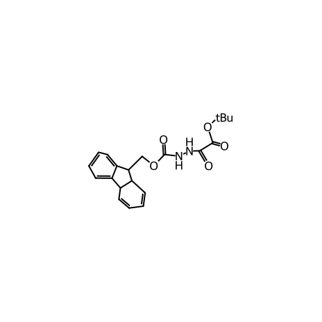 CC(C)(C)OC(=O)C(=O)NNC(=O)OCC1c2ccccc2C2C=CC=CC21